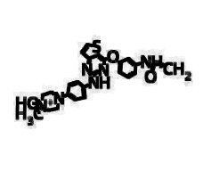 C=CC(=O)Nc1cccc(Oc2nc(Nc3ccc(N4CC[N+](C)(O)CC4)cc3)nc3ccsc23)c1